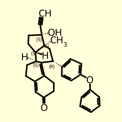 C#C[C@]1(O)CC[C@H]2[C@@H]3CCC4=CC(=O)CCC4=C3[C@@H](c3ccc(Oc4ccccc4)cc3)C[C@@]21C